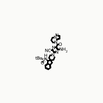 CC(C)(C)[S@@+]([O-])NC1c2ccccc2CC12CCN(c1nc(N)c(C(=O)N3CCCn4nccc43)nc1C#N)CC2